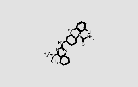 CN(C)c1nc(NC2CCC(N(C(N)=O)c3c(Cl)cccc3C(F)(F)F)CC2)nc2c1CCCC2